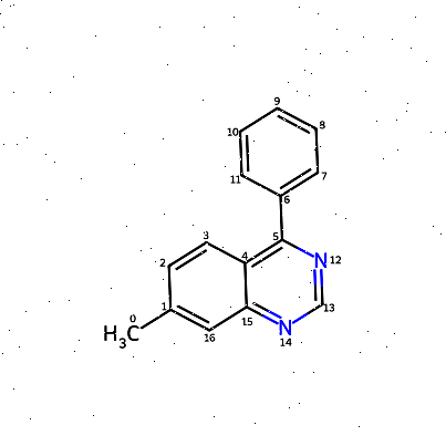 Cc1ccc2c(-c3ccccc3)ncnc2c1